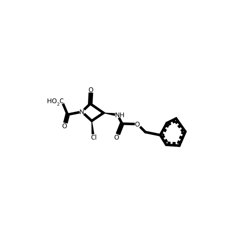 O=C(N[C@@H]1C(=O)N(C(=O)C(=O)O)[C@@H]1Cl)OCc1ccccc1